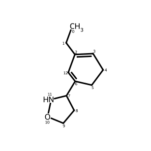 CCC1=CCCC(C2CCON2)=C1